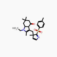 CC1=C(CC2(C)C=CN=C2S(=O)(=O)c2ccc(C)cc2)C2C(=O)CC(C)(C)CC2N1CC(=O)O